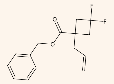 C=CCC1(C(=O)OCc2ccccc2)CC(F)(F)C1